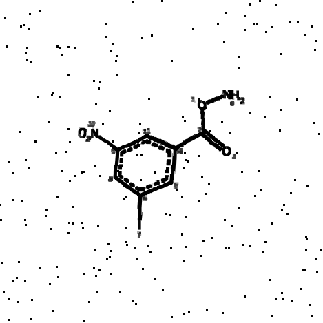 NOC(=O)c1cc(I)cc([N+](=O)[O-])c1